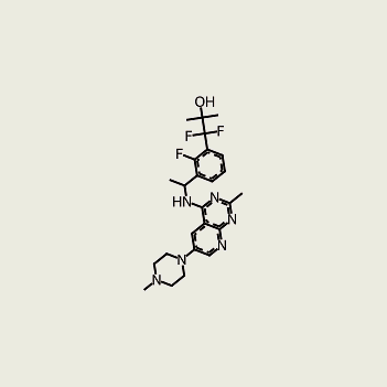 Cc1nc(NC(C)c2cccc(C(F)(F)C(C)(C)O)c2F)c2cc(N3CCN(C)CC3)cnc2n1